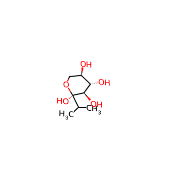 CC(C)[C@@]1(O)OC[C@@H](O)[C@H](O)[C@H]1O